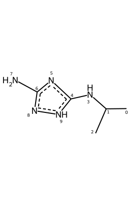 CC(C)Nc1nc(N)n[nH]1